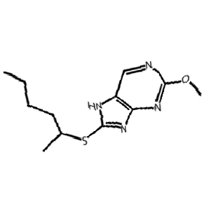 CCCCC(C)Sc1nc2nc(OC)ncc2[nH]1